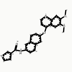 COc1cc2nccc(Oc3ccc4cc(NC(=O)c5ccsc5)ccc4c3)c2cc1OC